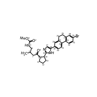 COC(=O)NCC(C)CC(=O)N1CCCC1c1ncc(-c2ccc3c(c2)CCc2cc(Br)ccc2-3)[nH]1